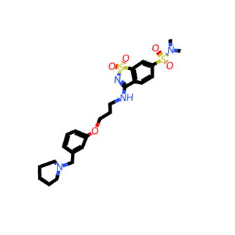 CN(C)S(=O)(=O)c1ccc2c(c1)S(=O)(=O)N=C2NCCCOc1cccc(CN2CCCCC2)c1